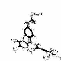 C=C(F)C(=C)NC(=C)[C@@H](NC(=O)C#C[Si](C)(C)C)c1ccc(NC(=O)OCCCCC)cc1